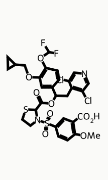 COc1ccc(S(=O)(=O)N2CCSC2C(=O)OC(Cc2c(Cl)cncc2Cl)c2ccc(OC(F)F)c(OCC3CC3)c2)cc1C(=O)O